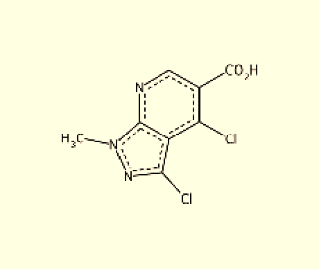 Cn1nc(Cl)c2c(Cl)c(C(=O)O)cnc21